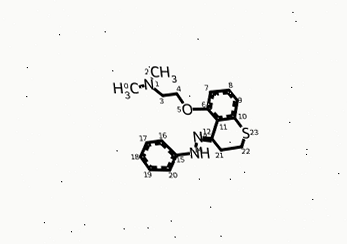 CN(C)CCOc1cccc2c1C(=NNc1ccccc1)CCS2